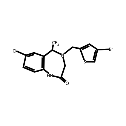 O=C1CN(Cc2cc(Br)cs2)C(C(F)(F)F)c2cc(Cl)ccc2N1